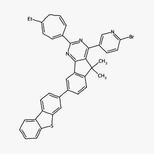 CCC1=CC=C(c2nc(-c3ccc(Br)nc3)c3c(n2)-c2cc(-c4ccc5c(c4)sc4ccccc45)ccc2C3(C)C)C=CC1